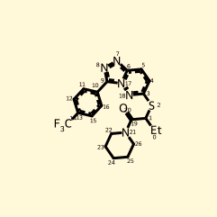 CCC(Sc1ccc2nnc(-c3ccc(C(F)(F)F)cc3)n2n1)C(=O)N1CCCCC1